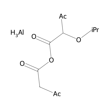 CC(=O)CC(=O)OC(=O)C(OC(C)C)C(C)=O.[AlH3]